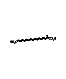 CC(CCCCCCCCCCCCCCC(=O)O)C(=O)O